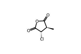 C[C@@H]1C(=O)OC(=O)[C@H]1Cl